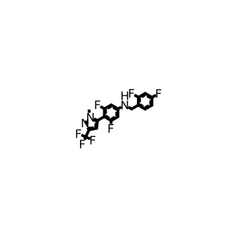 Cn1nc(C(F)(F)F)cc1-c1c(F)cc(NCc2ccc(F)cc2F)cc1F